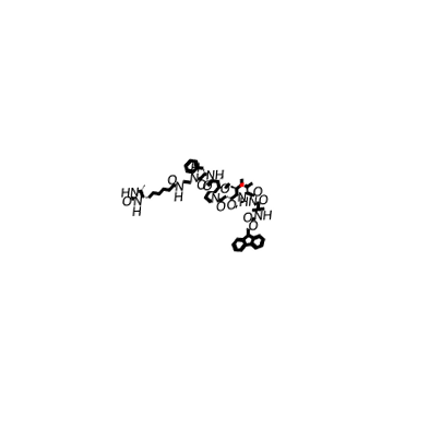 CC[C@H](C)[C@@H]([C@@H](CC(=O)N1CCC[C@H]1[C@H](OC)[C@@H](C)C(=O)N[C@@H](Cc1ccccc1)C(=O)NCCNC(=O)CCCCC[C@@H]1NC(=O)N[C@@H]1C)OC)N(C)[C@H](C(=O)NC(=O)C(C)(C)NC(=O)OCC1c2ccccc2-c2ccccc21)C(C)C